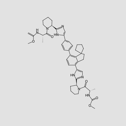 C=C(N[C@@H](C)C(=O)N1CCCC[C@H]1c1ncc(-c2ccc(-c3ccc(-c4cnc([C@@H]5CCCCN5C(=O)[C@H](C)NC(=O)OC)[nH]4)c4c3C3(CCCC3)CC4)cc2)[nH]1)OC